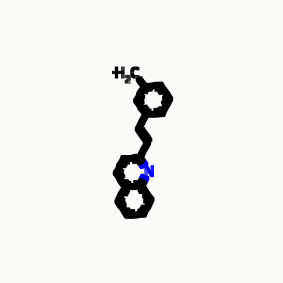 [CH2]c1cccc(/C=C/c2ccc3ccccc3n2)c1